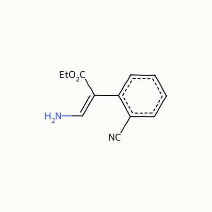 CCOC(=O)C(=CN)c1ccccc1C#N